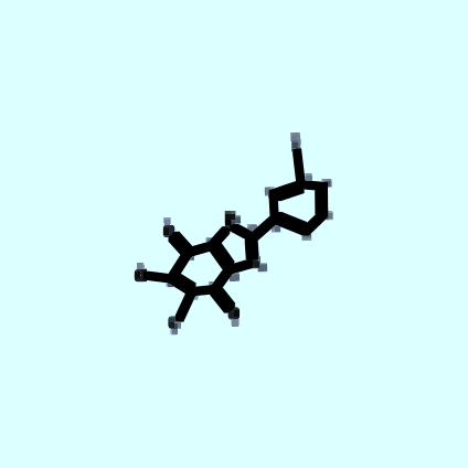 O=C1C(Cl)=C(Cl)C(=O)c2[nH]c(-c3cccc(F)c3)nc21